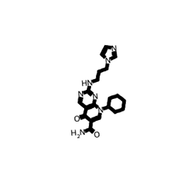 NC(=O)c1cn(C2CCCCC2)c2nc(NCCCn3ccnc3)ncc2c1=O